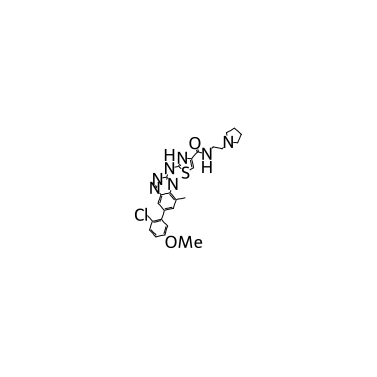 COc1ccc(Cl)c(-c2cc(C)c3nc(Nc4nc(C(=O)NCCN5CCCC5)cs4)nnc3c2)c1